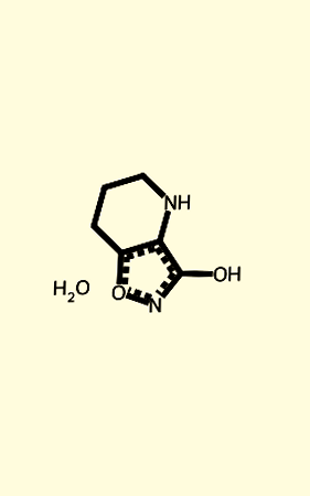 O.Oc1noc2c1NCCC2